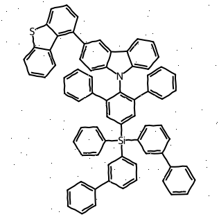 c1ccc(-c2cccc([Si](c3ccccc3)(c3cccc(-c4ccccc4)c3)c3cc(-c4ccccc4)c(-n4c5ccccc5c5cc(-c6cccc7sc8ccccc8c67)ccc54)c(-c4ccccc4)c3)c2)cc1